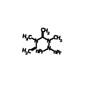 C=CN(C)C(=C)N(C)N(CCC)CCC